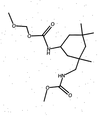 COCOC(=O)NC1CC(C)(C)CC(C)(CNC(=O)OC)C1